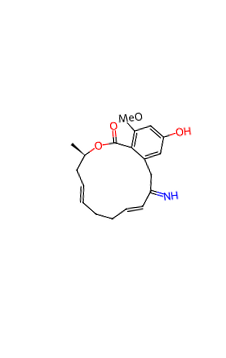 COc1cc(O)cc2c1C(=O)O[C@H](C)C/C=C/CC/C=C/C(=N)C2